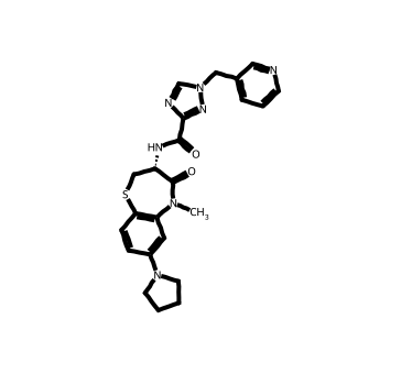 CN1C(=O)[C@@H](NC(=O)c2ncn(Cc3cccnc3)n2)CSc2ccc(N3CCCC3)cc21